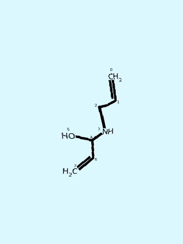 C=C[CH]NC(O)C=C